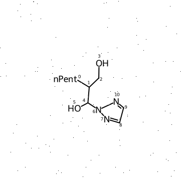 CCCCCC(CO)C(O)n1nccn1